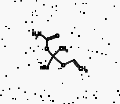 C=COC(C)(CCCC)OC(N)=O